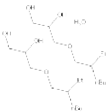 CCCCC(CC)COCC(O)CO.CCCCC(CC)COCC(O)CO.O